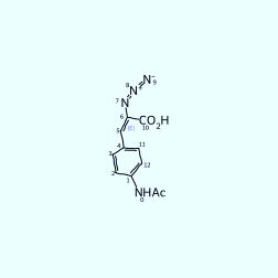 CC(=O)Nc1ccc(/C=C(/N=[N+]=[N-])C(=O)O)cc1